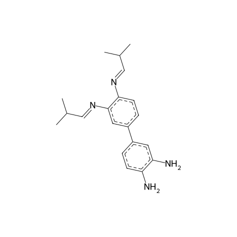 CC(C)C=Nc1ccc(-c2ccc(N)c(N)c2)cc1N=CC(C)C